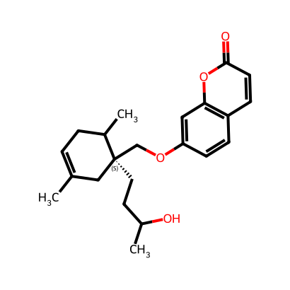 CC1=CCC(C)[C@@](CCC(C)O)(COc2ccc3ccc(=O)oc3c2)C1